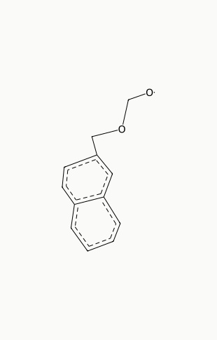 [O]COCc1ccc2ccccc2c1